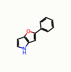 c1ccc(-c2cc3[nH]ccc3o2)cc1